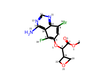 COC(=O)C(Oc1cc(Br)c2ncnc(N)c2c1F)C1COC1